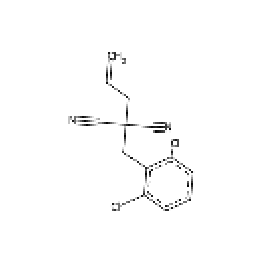 C=CCC(C#N)(C#N)Cc1c(Cl)cccc1Cl